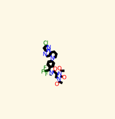 CC(=O)N1CC(C(=O)N(C)[C@@H](c2ccc(N3CCCc4c3cnc3cc(Cl)nn43)cc2)C(F)(F)F)N(C(C)=O)C1=O